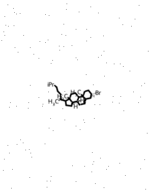 CC(C)CCC[C@@H](C)C1CC[C@H]2[C@H]3CC=C4C[C@@H](Br)CCC4(C)C3CCC12C